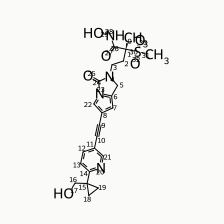 C[C@@](CCN1Cc2cc(C#Cc3ccc(C4(CO)CC4)nc3)cn2C1=O)(C(=O)NO)S(C)(=O)=O